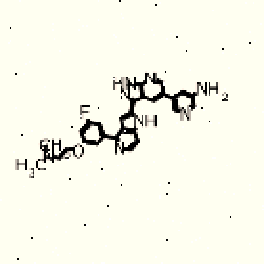 CN(C)CCOc1cc(F)cc(-c2nccc3[nH]c(-c4n[nH]c5ncc(-c6cncc(N)c6)cc45)cc23)c1